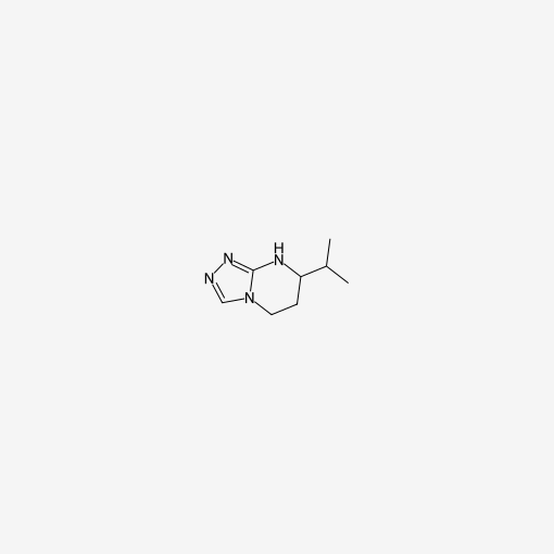 CC(C)C1CCn2cnnc2N1